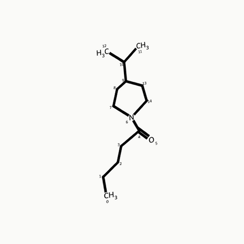 CCCCC(=O)N1CCC(C(C)C)CC1